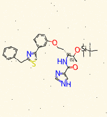 C[C@H](O[Si](C)(C)C(C)(C)C)[C@@H](CCOc1cccc(-c2csc(Cc3ccccc3)n2)c1)NC(=O)c1c[nH]cn1